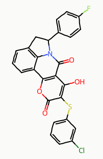 O=c1oc2c(c(O)c1Sc1cccc(Cl)c1)c(=O)n1c3c(cccc23)CC1c1ccc(F)cc1